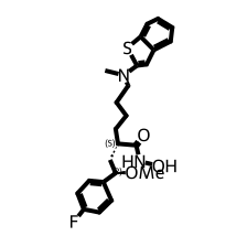 CO[C@H](C[C@H](CCCCN(C)c1cc2ccccc2s1)C(=O)NO)c1ccc(F)cc1